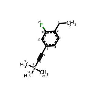 CCc1ccc(C#C[Si](C)(C)C)cc1F